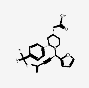 C=C(C)C#C[C@H](c1ccco1)N1CC[C@@H](CC(=O)O)C[C@H]1c1ccc(C(F)(F)F)cc1